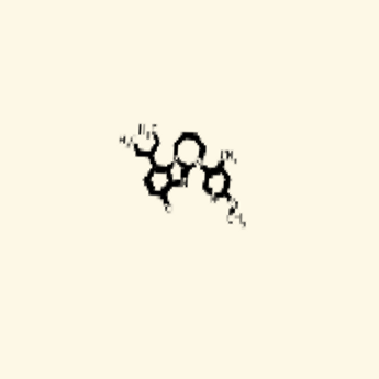 CCC(CC)c1ccc(Cl)c2nc3n(c12)CCCCN3c1cnc(OC)cc1C